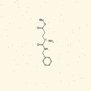 CC(C)(C)OC(=O)CC[C@H](N)C(=O)NCc1ccccc1